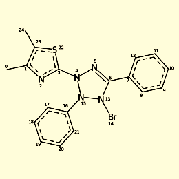 Cc1nc(N2N=C(c3ccccc3)N(Br)N2c2ccccc2)sc1C